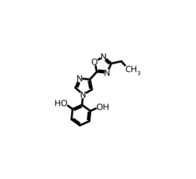 CCc1noc(-c2cn(-c3c(O)cccc3O)cn2)n1